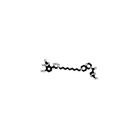 CC(C)c1nc(C(=O)N2CCOC3(CCN(CCCCCCCCCNC[C@H](O)c4ccc(O)c5[nH]c(=O)sc45)CC3)C2)cs1